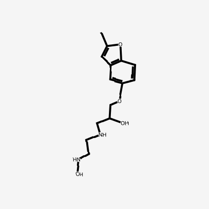 Cc1cc2cc(OCC(O)CNCCNO)ccc2o1